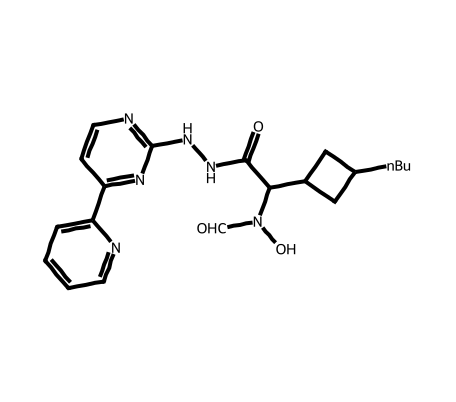 CCCCC1CC(C(C(=O)NNc2nccc(-c3ccccn3)n2)N(O)C=O)C1